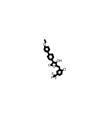 CCOc1ccc(-c2ccc(C3=C(O)C(=Cc4cc(C(F)(F)F)ccc4Cl)OC3=O)cc2)cc1